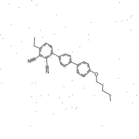 CCCCCOc1ccc(-c2ccc(-c3ccc(CC)c(C#N)c3C#N)cc2)cc1